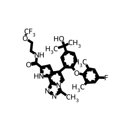 Cc1cc(F)cc(C)c1Oc1ccc(C(C)(C)O)cc1-c1cn2c(C)nnc2c2[nH]c(C(=O)NCCOC(F)(F)F)cc12